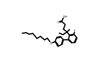 CCCCCCCCOc1ccc(-c2cccc(F)c2C(C)(CC)CCC(=O)O)cc1